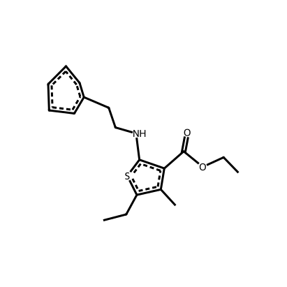 CCOC(=O)c1c(NCCc2ccccc2)sc(CC)c1C